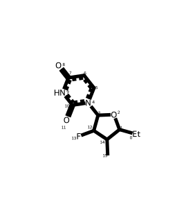 CCC1OC(n2ccc(=O)[nH]c2=O)C(F)C1C